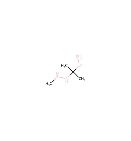 BBC(C)(C)BBC